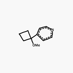 COC1(c2ccncc2)CCC1